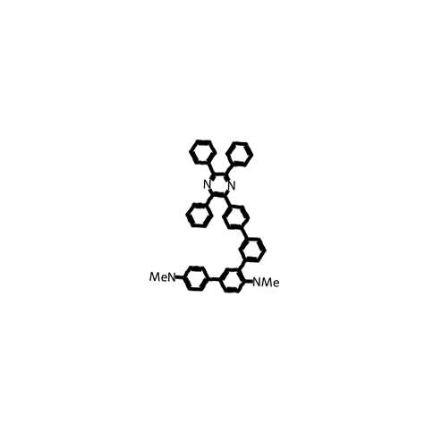 CNc1ccc(-c2ccc(NC)c(-c3cccc(-c4ccc(-c5nc(-c6ccccc6)c(-c6ccccc6)nc5-c5ccccc5)cc4)c3)c2)cc1